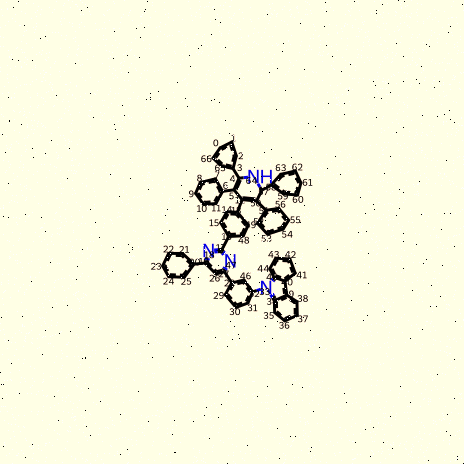 c1ccc(C2=C(c3ccccc3)C(c3ccc(-c4nc(-c5ccccc5)cc(-c5cccc(-n6c7ccccc7c7ccccc76)c5)n4)cc3)=C(c3ccccc3)C(c3ccccc3)N2)cc1